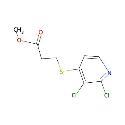 COC(=O)CCSc1ccnc(Cl)c1Cl